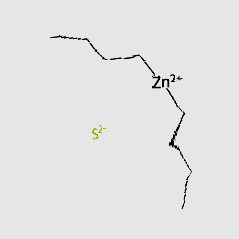 CCC[CH2][Zn+2][CH2]CCC.[S-2]